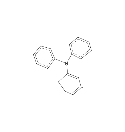 [C]1=CC[CH]C(N(c2ccccc2)c2ccccc2)=C1